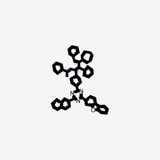 C\C(=C/C(=C(\C(=C\c1ccccc1)C1=CC=CCC=C1)c1ccccc1)c1ccc(-c2nc(-c3ccc4ccccc4c3)nc(-c3ccc4c(c3)oc3ccccc34)n2)cc1)c1ccccc1